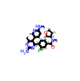 CNc1ccc(-c2c(C)nc(N)nc2-c2ccc(C(=O)N(C)C3CCOC3)cc2F)cn1